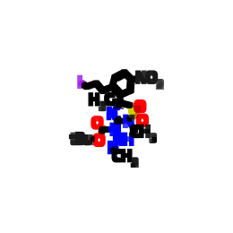 C=NNN(C(=O)OC(C)(C)C)C1=N[C@](C)(c2cc([N+](=O)[O-])ccc2CCCI)CS(=O)(=O)N1C